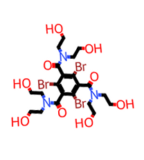 O=C(c1c(Br)c(C(=O)N(CCO)CCO)c(Br)c(C(=O)N(CCO)CCO)c1Br)N(CCO)CCO